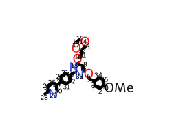 COc1ccc(COc2cc(OCC3COCCO3)nc(-c3ccc(-c4ccc(C)nc4)cc3)n2)cc1